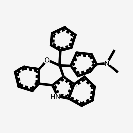 CN(C)c1ccc(C2(c3ccccc3)Oc3ccccc3-c3[nH]c4ccccc4c32)cc1